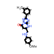 COc1ccc(NCc2cc(=O)n3nc(-c4cccc(C)c4)nc3[nH]2)cc1